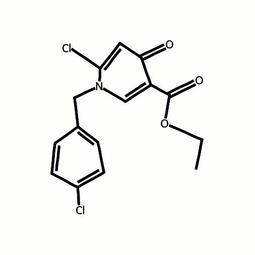 CCOC(=O)c1cn(Cc2ccc(Cl)cc2)c(Cl)cc1=O